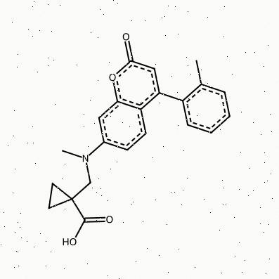 Cc1ccccc1-c1cc(=O)oc2cc(N(C)CC3(C(=O)O)CC3)ccc12